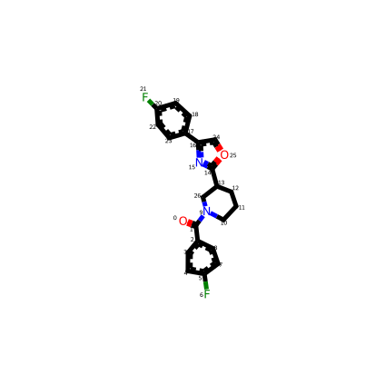 O=C(c1ccc(F)cc1)N1CCCC(c2nc(-c3ccc(F)cc3)co2)C1